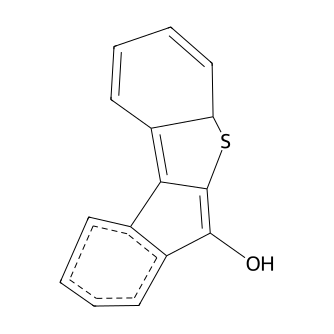 OC1=C2SC3C=CC=CC3=C2c2ccccc21